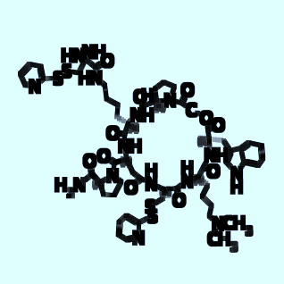 CN(C)CCCC[C@@H]1NC(=O)[C@H](CSSc2ccccn2)NC(=O)C[C@@H](C(=O)N2CCC[C@H]2C(N)=O)NC(=O)[C@H](CCCCNC(=O)C2(CSSc3ccccn3)NN2)NC(=O)[C@@H]2CCCN2C(=O)COC(=O)[C@H](Cc2c[nH]c3ccccc23)NC1=O